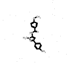 COc1ccc(C(=O)Nc2cc(-c3ccc(N)cc3)nn2C)cc1